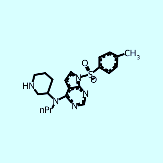 CCCN(c1ncnc2c1ccn2S(=O)(=O)c1ccc(C)cc1)C1CCCNC1